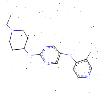 Cc1cnccc1Nc1cnc(NC2CCN(CC(C)C)CC2)nc1